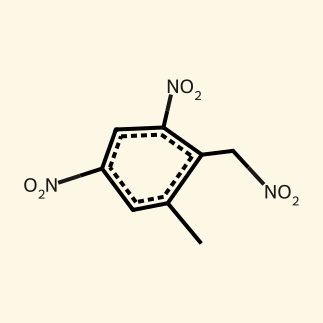 Cc1cc([N+](=O)[O-])cc([N+](=O)[O-])c1C[N+](=O)[O-]